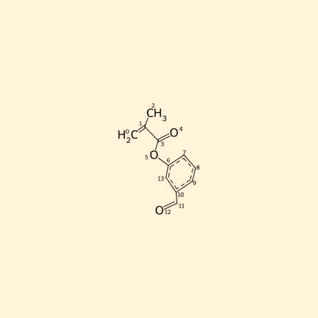 C=C(C)C(=O)Oc1cccc(C=O)c1